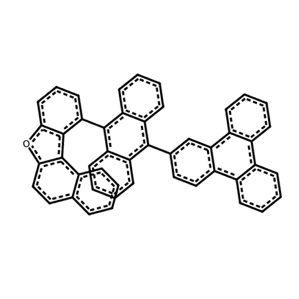 c1ccc2c(c1)ccc1oc3cccc(-c4c5ccccc5c(-c5ccc6c7ccccc7c7ccccc7c6c5)c5ccccc45)c3c12